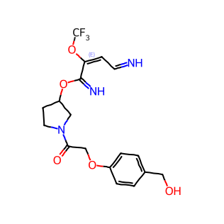 N=C/C=C(/OC(F)(F)F)C(=N)OC1CCN(C(=O)COc2ccc(CO)cc2)C1